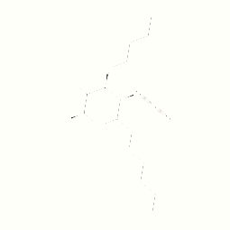 CCCCOCC1O[C@@H](O)C(O)[C@@H](OCCCC)[C@H]1N=[N+]=[N-]